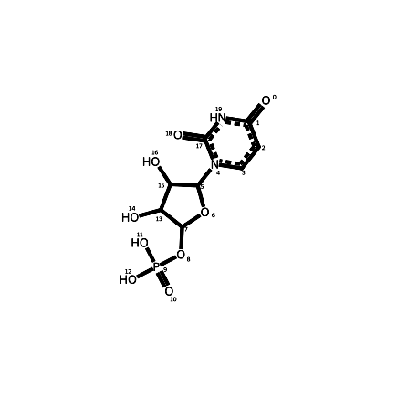 O=c1ccn(C2OC(OP(=O)(O)O)C(O)C2O)c(=O)[nH]1